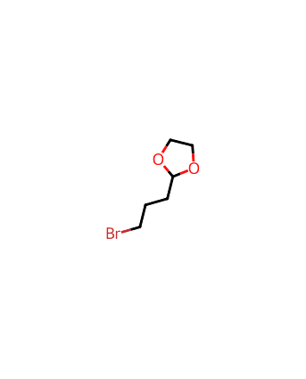 BrCCCC1OCCO1